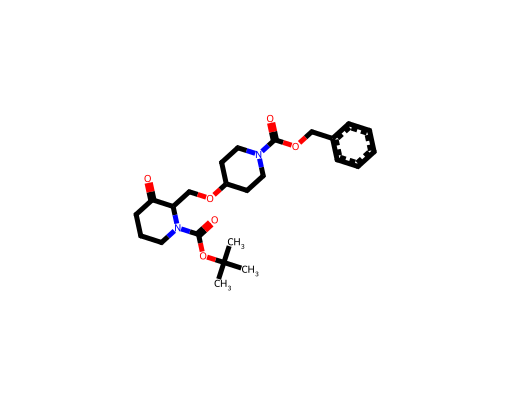 CC(C)(C)OC(=O)N1CCCC(=O)C1COC1CCN(C(=O)OCc2ccccc2)CC1